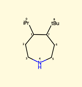 CC(C)C1CCNCCC1C(C)(C)C